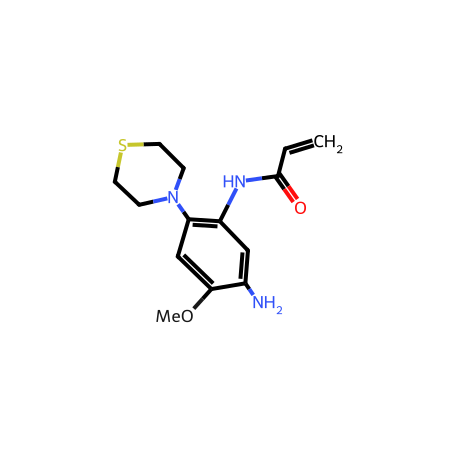 C=CC(=O)Nc1cc(N)c(OC)cc1N1CCSCC1